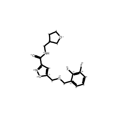 O=C(NCC1CCOC1)c1cc(COCc2cccc(F)c2F)on1